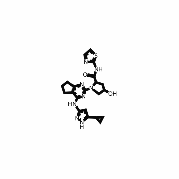 O=C(Nc1nccs1)C1CC(O)CN1c1nc2c(c(Nc3cc(C4CC4)[nH]n3)n1)CCC2